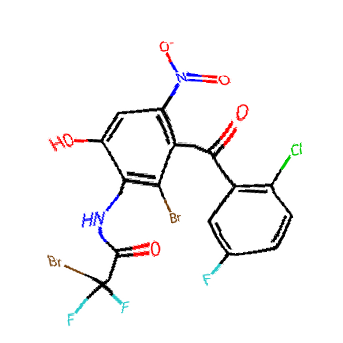 O=C(c1cc(F)ccc1Cl)c1c([N+](=O)[O-])cc(O)c(NC(=O)C(F)(F)Br)c1Br